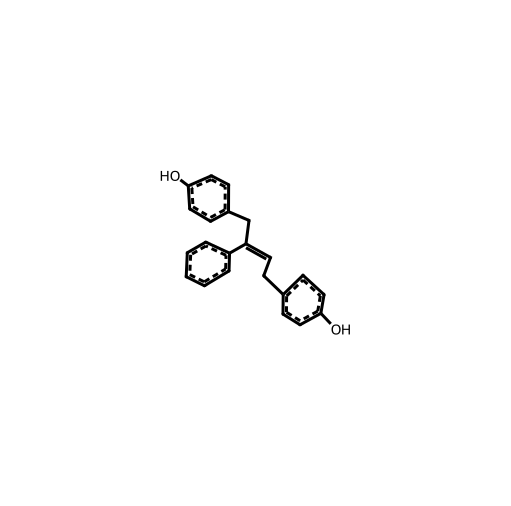 Oc1ccc(CC=C(Cc2ccc(O)cc2)c2ccccc2)cc1